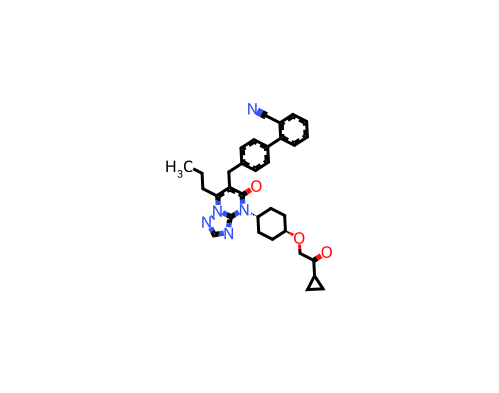 CCCc1c(Cc2ccc(-c3ccccc3C#N)cc2)c(=O)n([C@H]2CC[C@H](OCC(=O)C3CC3)CC2)c2ncnn12